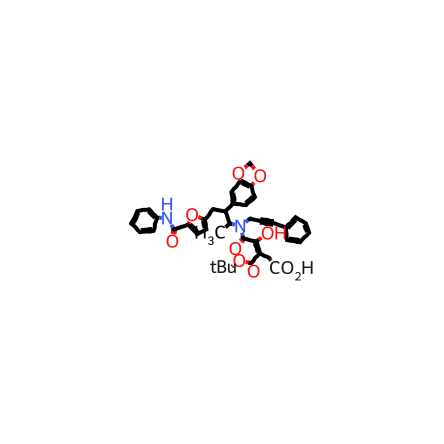 CC(C(Cc1ccc(C(=O)Nc2ccccc2)o1)c1ccc2c(c1)OCO2)N(CC#Cc1ccccc1)C(=O)C(O)=C(CC(=O)O)C(=O)OC(C)(C)C